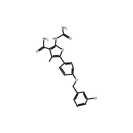 Cc1c(-c2ccc(OCc3cccc(Cl)c3)cc2)sc(NC(N)=O)c1C(N)=O